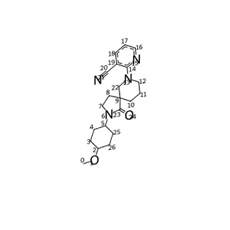 COC1CCC(N2CCC3(CCCN(c4ncccc4C#N)C3)C2=O)CC1